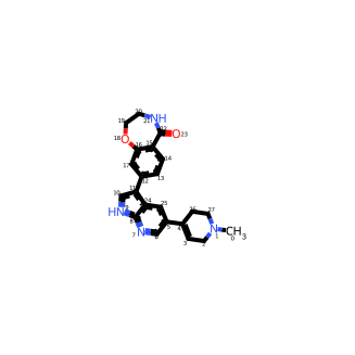 CN1CC=C(c2cnc3[nH]cc(-c4ccc5c(c4)OCCNC5=O)c3c2)CC1